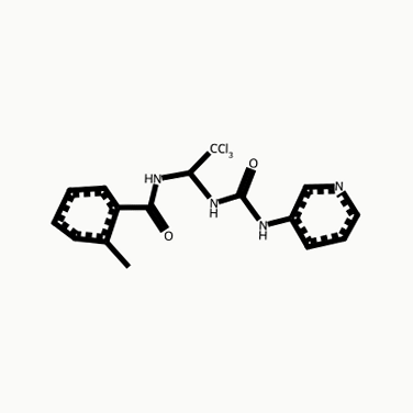 Cc1ccccc1C(=O)NC(NC(=O)Nc1cccnc1)C(Cl)(Cl)Cl